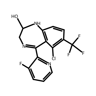 OC1CN=C(c2ncccc2F)c2c(ccc(C(F)(F)F)c2Cl)N1